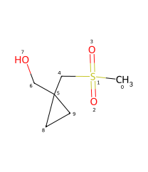 CS(=O)(=O)CC1(CO)CC1